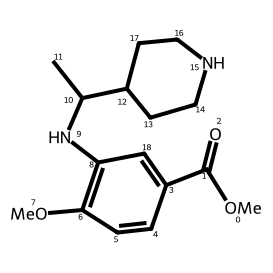 COC(=O)c1ccc(OC)c(NC(C)C2CCNCC2)c1